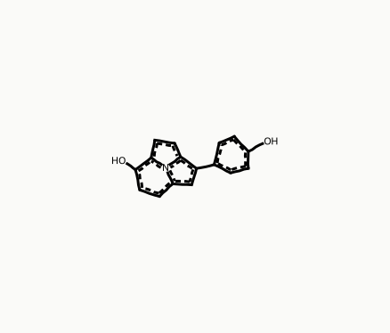 Oc1ccc(-c2cc3ccc(O)c4ccc2n34)cc1